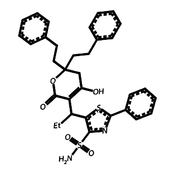 CCC(C1=C(O)CC(CCc2ccccc2)(CCc2ccccc2)OC1=O)c1sc(-c2ccccc2)nc1S(N)(=O)=O